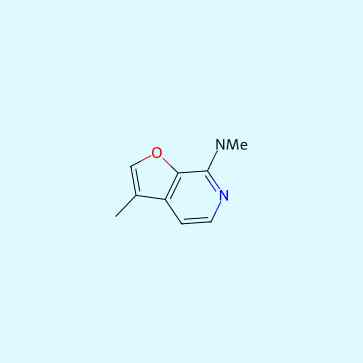 CNc1nccc2c(C)coc12